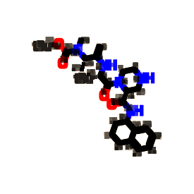 C=C(N[C@H](C(=O)N1CCNC[C@H]1C(=O)N[C@@H]1CCCc2ccccc21)C(C)(C)C)[C@H](C)N(C)C(=O)OC(C)(C)C